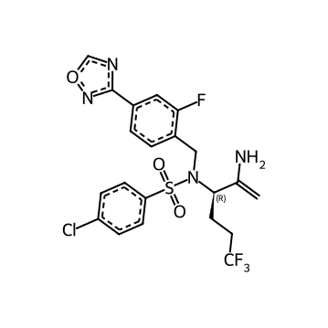 C=C(N)[C@@H](CCC(F)(F)F)N(Cc1ccc(-c2ncon2)cc1F)S(=O)(=O)c1ccc(Cl)cc1